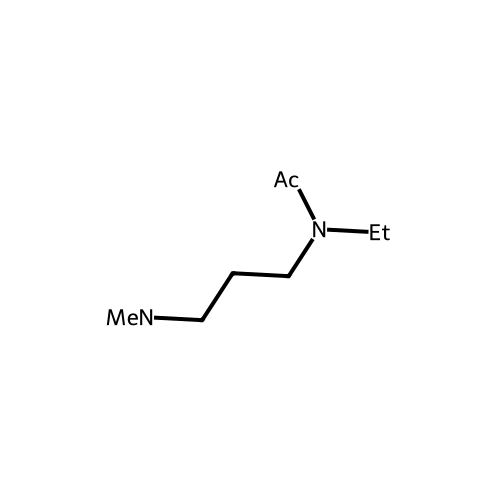 CCN(CCCNC)C(C)=O